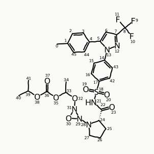 Cc1ccc(-c2cc(C(F)(F)F)nn2-c2ccc(S(=O)(=O)NC(=O)[C@@H]3CCCN3n3on3OC(C)OC(=O)OC(C)C)cc2)cc1